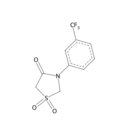 O=C1CS(=O)(=O)CN1c1cccc(C(F)(F)F)c1